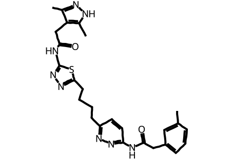 Cc1cccc(CC(=O)Nc2ccc(CCCCc3nnc(NC(=O)Cc4c(C)n[nH]c4C)s3)nn2)c1